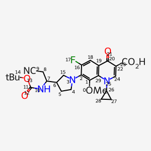 COc1c(N2CCC(C(CC#N)NC(=O)OC(C)(C)C)C2)c(F)cc2c(=O)c(C(=O)O)cn(C3CC3)c12